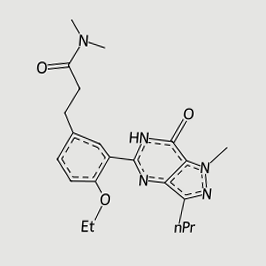 CCCc1nn(C)c2c(=O)[nH]c(-c3cc(CCC(=O)N(C)C)ccc3OCC)nc12